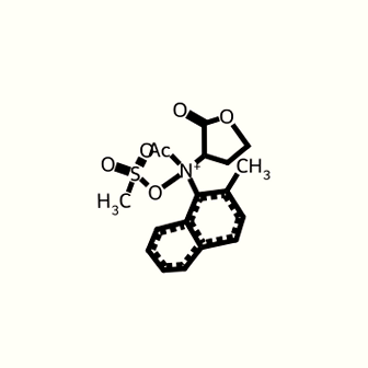 CC(=O)[N+](OS(C)(=O)=O)(c1c(C)ccc2ccccc12)C1CCOC1=O